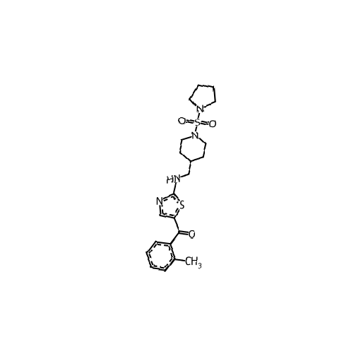 Cc1ccccc1C(=O)c1cnc(NCC2CCN(S(=O)(=O)N3CCCC3)CC2)s1